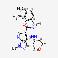 CCC(NC(=O)c1cnc2c(cnn2CC)c1NC1CCOCC1)c1ccc(C)c(C)c1